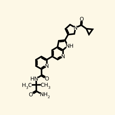 CC(C)(NC(=O)c1cccc(-c2cnc3[nH]c(C4=CCN(C(=O)C5CC5)C4)cc3c2)n1)C(N)=O